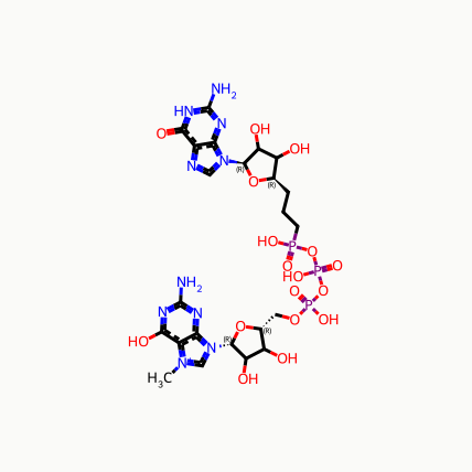 C[n+]1cn([C@@H]2O[C@H](COP(=O)(O)OP(=O)(O)OP(=O)(O)CCC[C@H]3O[C@@H](n4cnc5c(=O)[nH]c(N)nc54)C(O)C3O)C(O)C2O)c2nc(N)nc(O)c21